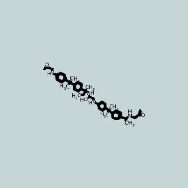 CCC(C)(NC(O)CNc1ccc(C(C)(C)c2ccc(C(C)NCC3CO3)cc2)cc1)c1ccc(C(C)(C)c2ccc(NCC3CO3)cc2)cc1